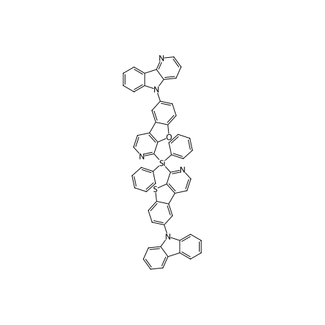 c1ccc([Si](c2ccccc2)(c2nccc3c2oc2ccc(-n4c5ccccc5c5ncccc54)cc23)c2nccc3c2sc2ccc(-n4c5ccccc5c5ccccc54)cc23)cc1